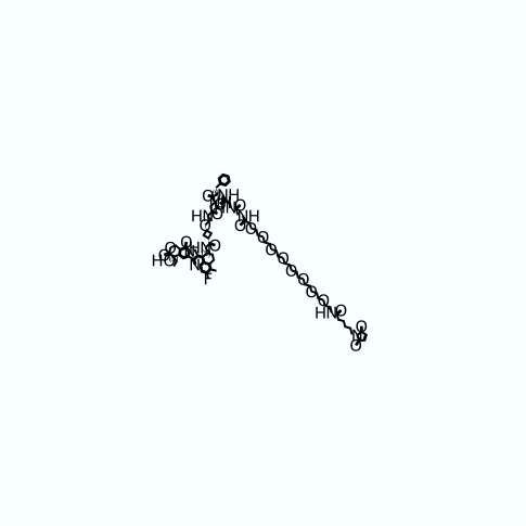 CC[C@@]1(O)C(=O)OCc2c1cc1n(c2=O)Cc2c-1nc1cc(F)c(C)c3c1c2[C@@H](NC(=O)[C@H]1C[C@@H](OCNC(=O)CNC(=O)[C@H](Cc2ccccc2)NC(=O)CNC(=O)CNC(=O)COCCOCCOCCOCCOCCOCCOCCOCCNC(=O)CCCCCN2C(=O)C=CC2=O)C1)CC3